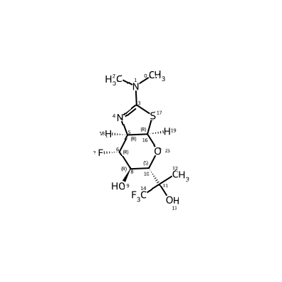 CN(C)C1=N[C@@H]2[C@@H](F)[C@H](O)[C@@H](C(C)(O)C(F)(F)F)O[C@@H]2S1